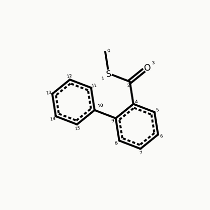 CSC(=O)c1ccccc1-c1ccccc1